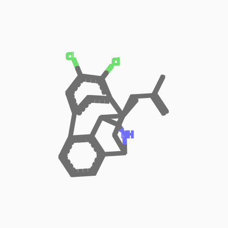 C=C(C)CC1NC2CC3(C)c4cc(cc(Cl)c4Cl)-c4cccc2c4C13